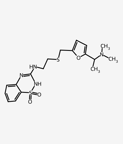 CC(c1ccc(CSCCNC2=Nc3ccccc3S(=O)(=O)N2)o1)N(C)C